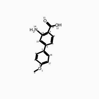 COc1ccc(-c2ccc(C(=O)O)c(N)c2)cc1